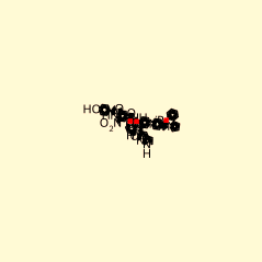 CC(C)c1ccccc1[C@@H]1CCCN1C1CC2(CCN(c3ccc(C(=O)NS(=O)(=O)c4cc5c(c([N+](=O)[O-])c4)N[C@@H](C4CCC(O)CC4)CO5)c(N4c5cc6cc[nH]c6nc5O[C@@H]5CCOC[C@@H]54)c3)CC2)C1